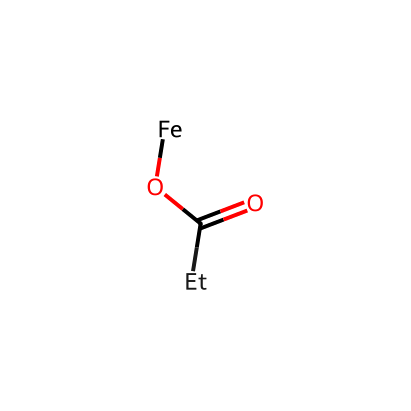 CCC(=O)[O][Fe]